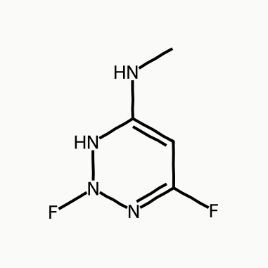 CNC1=CC(F)=NN(F)N1